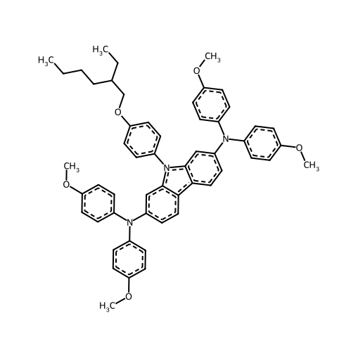 CCCCC(CC)COc1ccc(-n2c3cc(N(c4ccc(OC)cc4)c4ccc(OC)cc4)ccc3c3ccc(N(c4ccc(OC)cc4)c4ccc(OC)cc4)cc32)cc1